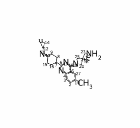 Cc1ccc2nc(C3CCC(=NC4CC4)CC3)nc(N3CC(F)(CN)C3)c2c1